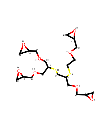 C(CSC(COCC1CO1)CSC(COCC1CO1)COCC1CO1)OCC1CO1